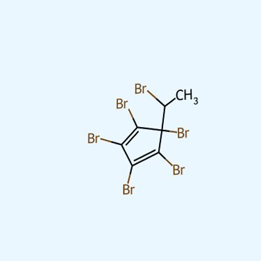 CC(Br)C1(Br)C(Br)=C(Br)C(Br)=C1Br